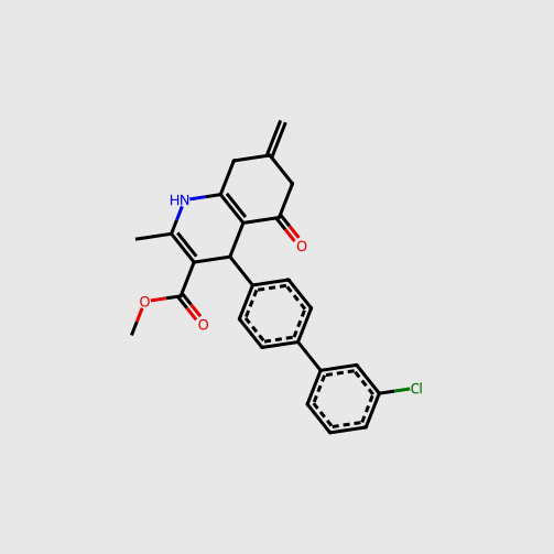 C=C1CC(=O)C2=C(C1)NC(C)=C(C(=O)OC)C2c1ccc(-c2cccc(Cl)c2)cc1